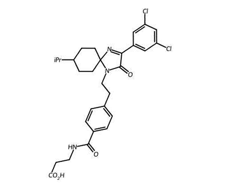 CC(C)C1CCC2(CC1)N=C(c1cc(Cl)cc(Cl)c1)C(=O)N2CCc1ccc(C(=O)NCCC(=O)O)cc1